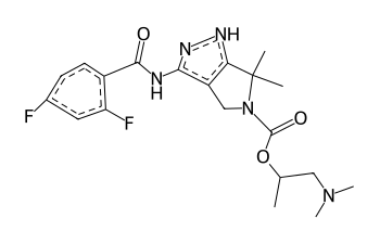 CC(CN(C)C)OC(=O)N1Cc2c(NC(=O)c3ccc(F)cc3F)n[nH]c2C1(C)C